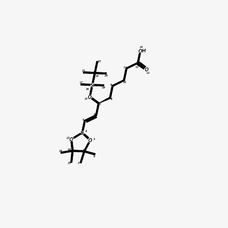 CC1(C)OB(/C=C/[C@H](CCCCC(=O)O)O[Si](C)(C)C(C)(C)C)OC1(C)C